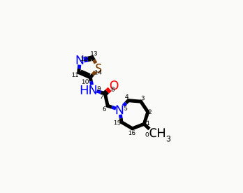 CC1CCCN(CC(=O)Nc2cncs2)CC1